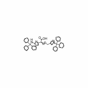 O=C(O)/C(=N\OCc1cnn(C(c2ccccc2)(c2ccccc2)c2ccccc2)c1)c1csc(NC(c2ccccc2)(c2ccccc2)c2ccccc2)n1